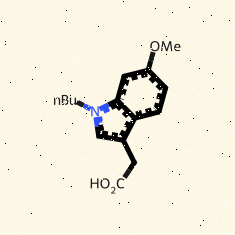 CCCCn1cc(CC(=O)O)c2ccc(OC)cc21